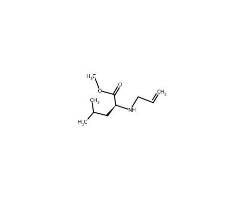 C=CCN[C@@H](CC(C)C)C(=O)OC